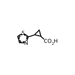 O=C(O)C1CC1c1nccs1